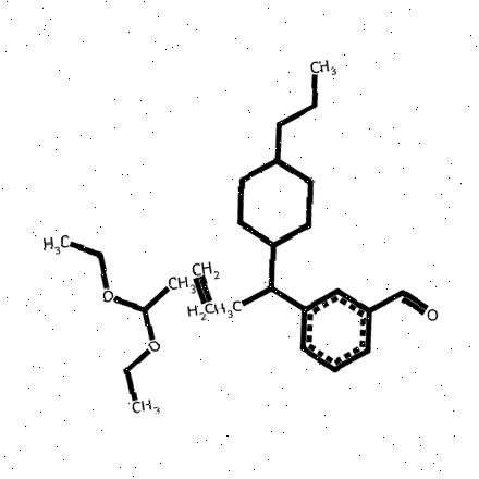 C=C.CCCC1CCC(C(C)c2cccc(C=O)c2)CC1.CCOC(C)OCC